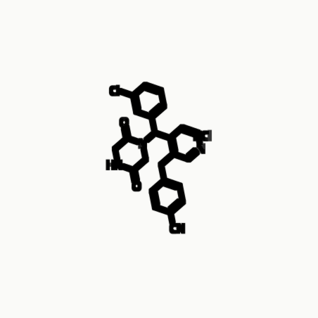 Cl.N#Cc1ccc(Cc2cnccc2C(c2cccc(Cl)c2)N2CC(=O)NCC2=O)cc1